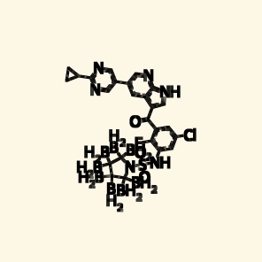 BC1(B)N(S(=O)(=O)Nc2cc(Cl)cc(C(=O)c3c[nH]c4ncc(-c5cnc(C6CC6)nc5)cc34)c2F)C(B)(B)C(B)(B)C1(B)B